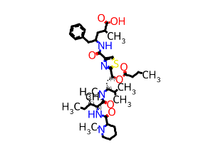 CCCC(=O)O[C@H](C[C@H](C(C)C)N(C)C(=O)[C@@H](NC(=O)C1CCCCN1C)[C@@H](C)CC)c1nc(C(=O)NC(Cc2ccccc2)CC(C)C(=O)O)cs1